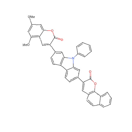 COc1cc(OC)c2cc(-c3ccc4c5ccc(-c6cc7ccc8ccccc8c7oc6=O)cc5n(-c5ccccc5)c4c3)c(=O)oc2c1